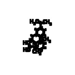 CC(C)c1ccc2c(c1)C[C@H](O)C1[C@@](C)(CO)CCC[C@]21C